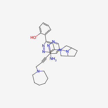 Nc1nnc(-c2ccccc2O)cc1N1CC2CCC(C1)N2c1cnnc(C#CCN2CCCCCC2)c1